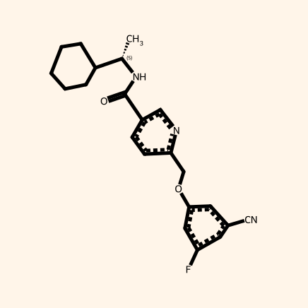 C[C@H](NC(=O)c1ccc(COc2cc(F)cc(C#N)c2)nc1)C1CCCCC1